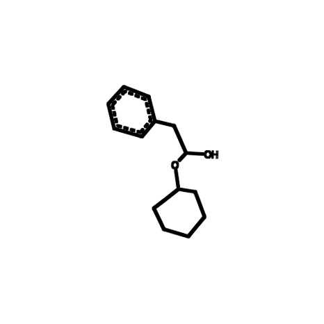 OC(Cc1ccccc1)OC1CCCCC1